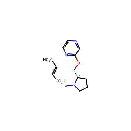 CN1CCC[C@H]1COc1cnccn1.O=C(O)/C=C/C(=O)O